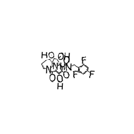 O=C(NCc1c(F)cc(F)cc1F)c1c2n3c(c(O)c1=O)C(=O)N1CCCC[C@@]3(C1)[C@H](O)[C@H]2O